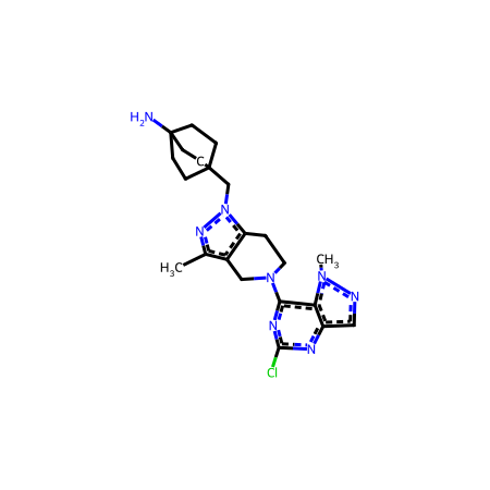 Cc1nn(CC23CCC(N)(CC2)CC3)c2c1CN(c1nc(Cl)nc3cnn(C)c13)CC2